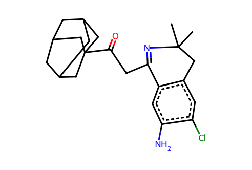 CC1(C)Cc2cc(Cl)c(N)cc2C(CC(=O)C23CC4CC(CC(C4)C2)C3)=N1